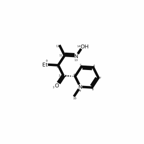 CCC(C(=O)[C@@H]1C=CC=CN1C)C(C)=NO